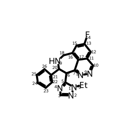 CCn1ncnc1C1c2nncc3cc(F)cc(c23)CNC1c1ccccc1